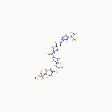 O=C(N1CC2(CC(n3cnc(C4(O)CC4)n3)C2)C1)N1CC2(CC[C@H](Cc3ccc(S(=O)(=O)C(F)(F)F)cc3)C2)C1